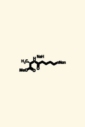 CCCCCCCCCCCCCC(=O)N[C@@H](C)C(=O)OC.[NaH]